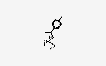 CO[SiH](CC(C)c1ccc(C)cc1)OC